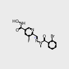 CN(/N=C/c1ncc(C(=O)NO)cc1F)C(=O)c1ccccc1Br